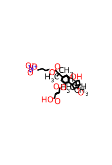 CC(C)(C(=O)OCCCCO[N+](=O)[O-])c1cc(O)c([C@H]2CC(=O)[C@H]3C[C@@H]2C3(C)C)c(OC(=O)/C=C/C(=O)O)c1